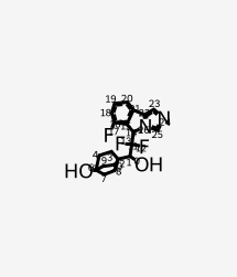 OC(C12CCC(O)(CC1)CC2)C(F)(F)C1c2c(F)cccc2-c2cncn21